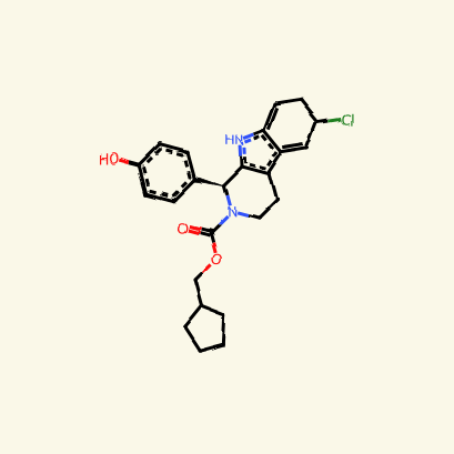 O=C(OCC1CCCC1)N1CCc2c([nH]c3c2=CC(Cl)CC=3)[C@@H]1c1ccc(O)cc1